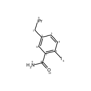 CC(C)Cc1ccc(I)c(C(N)=O)c1